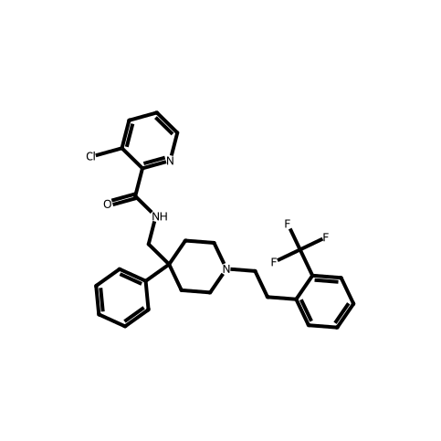 O=C(NCC1(c2ccccc2)CCN(CCc2ccccc2C(F)(F)F)CC1)c1ncccc1Cl